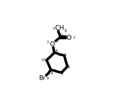 CC(=O)OC1CCCC(Br)C1